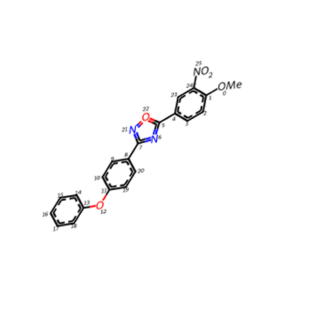 COc1ccc(-c2nc(-c3ccc(Oc4ccccc4)cc3)no2)cc1[N+](=O)[O-]